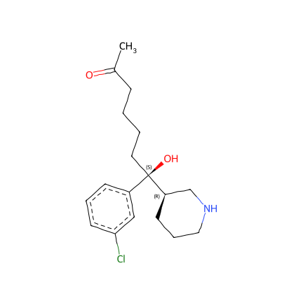 CC(=O)CCCC[C@@](O)(c1cccc(Cl)c1)[C@@H]1CCCNC1